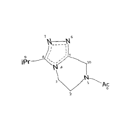 CC(=O)N1CCn2c(nnc2C(C)C)C1